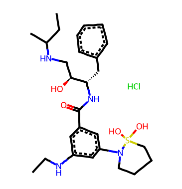 CCNc1cc(C(=O)N[C@@H](Cc2ccccc2)[C@@H](O)CNC(C)CC)cc(N2CCCCS2(O)O)c1.Cl